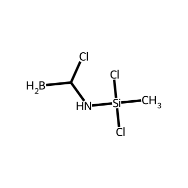 BC(Cl)N[Si](C)(Cl)Cl